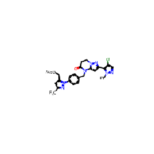 COCc1cc(C(F)(F)F)nn1-c1ccc(CN2C(=O)CCn3nc(-c4c(Cl)cnn4C(C)C)cc32)cc1